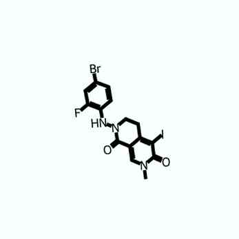 Cn1cc2c(c(I)c1=O)CCN(Nc1ccc(Br)cc1F)C2=O